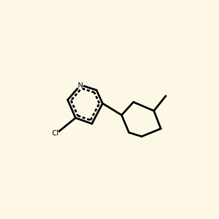 CC1CCCC(c2cncc(Cl)c2)C1